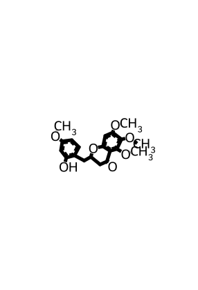 COc1ccc(CC2CC(=O)c3c(cc(OC)c(OC)c3OC)O2)c(O)c1